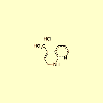 Cl.O=C(O)C1=CCNc2ncccc21